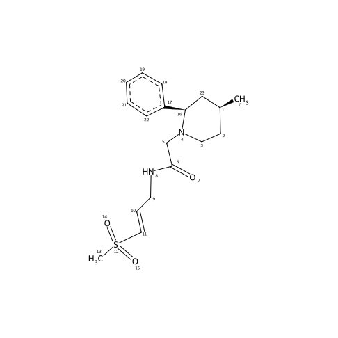 C[C@H]1CCN(CC(=O)NC/C=C/S(C)(=O)=O)[C@@H](c2ccccc2)C1